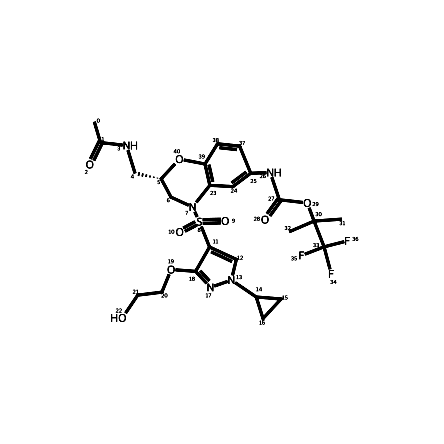 CC(=O)NC[C@H]1CN(S(=O)(=O)c2cn(C3CC3)nc2OCCO)c2cc(NC(=O)OC(C)(C)C(F)(F)F)ccc2O1